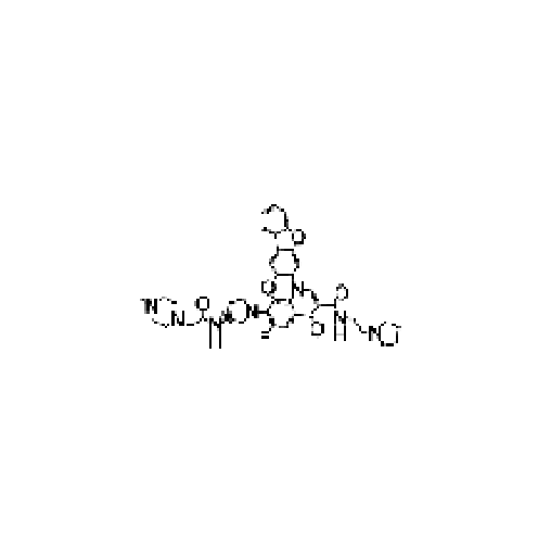 CN1CCN(CC(=O)N[C@@H]2CCN(c3c(F)cc4c(=O)c(C(=O)NCCN5CCCC5)cn5c4c3Oc3cc4c(cc3-5)oc3ccccc34)C2)CC1